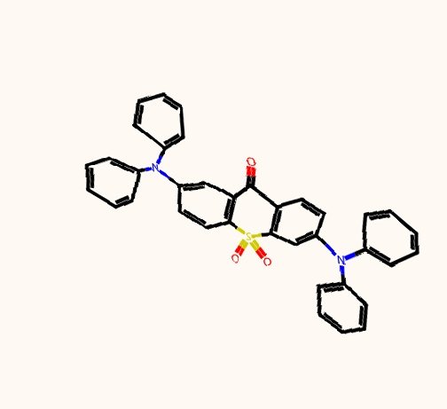 O=C1c2cc(N(c3ccccc3)c3ccccc3)ccc2S(=O)(=O)c2cc(N(c3ccccc3)c3ccccc3)ccc21